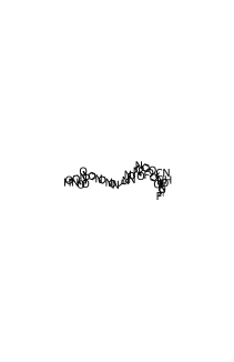 N#Cc1c(NS(=O)(=O)N2CC[C@@H](F)C2)ccc(F)c1Oc1ccc2ncn(-c3cnc(N4CC(CN5CCN(C6CCN(c7ccc8c(c7)C(=O)N(C7CCC(=O)NC7=O)C8=O)CC6)CC5)C4)nc3)c(=O)c2c1